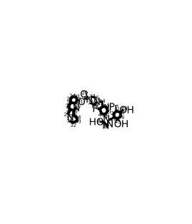 CC(C)c1cc(-c2nnc(O)n2-c2ccc(CN3CCN(C(=O)Oc4cccc5cc6cn7ccccc7c6nc45)CC3)c(F)c2)c(O)cc1O